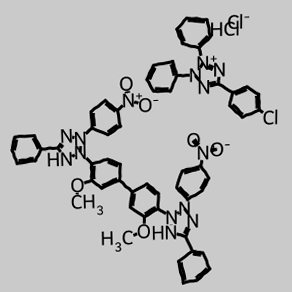 COc1cc(-c2ccc(N3NC(c4ccccc4)=NN3c3ccc([N+](=O)[O-])cc3)c(OC)c2)ccc1N1NC(c2ccccc2)=NN1c1ccc([N+](=O)[O-])cc1.Cl.Clc1ccc(-c2nn(-c3ccccc3)[n+](-c3ccccc3)n2)cc1.[Cl-]